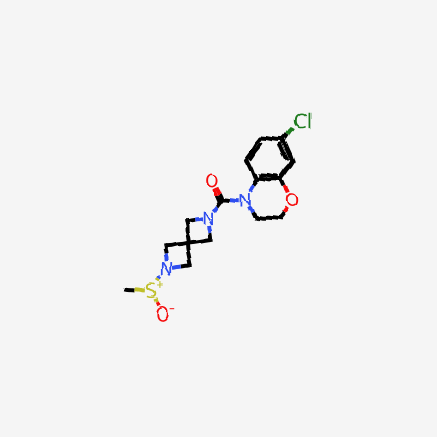 C[S+]([O-])N1CC2(CN(C(=O)N3CCOc4cc(Cl)ccc43)C2)C1